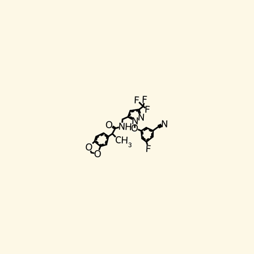 CC(C(=O)NCc1cc(C(F)(F)F)nn1Oc1cc(F)cc(C#N)c1)c1ccc2c(c1)OCO2